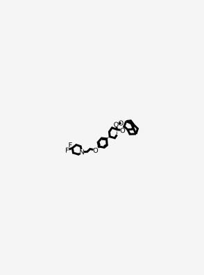 FC1(F)CCN(CCOc2ccc([C@H]3CC[C@]4(CC3)OO[C@]3(O4)C4CC5CC(C4)CC3C5)cc2)CC1